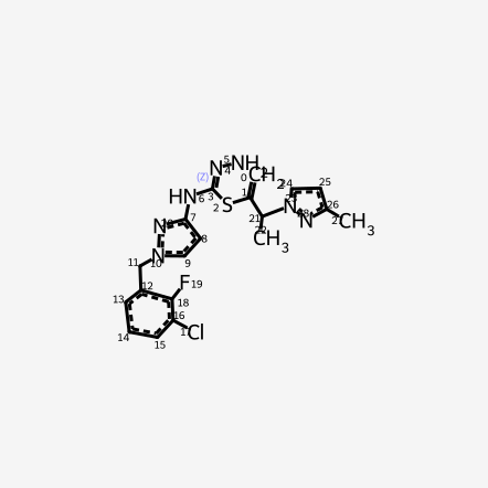 C=C(S/C(=N\N)Nc1ccn(Cc2cccc(Cl)c2F)n1)C(C)n1ccc(C)n1